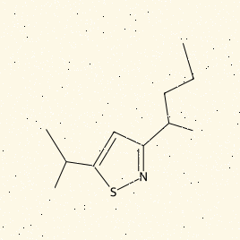 CCCC(C)c1cc(C(C)C)sn1